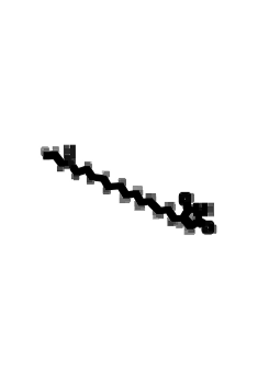 C=CCNCCCCCCCCCCCCCC1=CC(=O)NC1=O